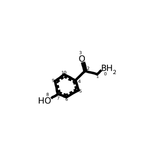 BCC(=O)c1ccc(O)cc1